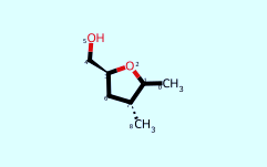 CC1O[C@H](CO)C[C@H]1C